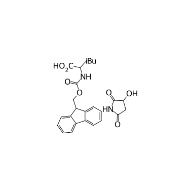 CCC(C)C(NC(=O)OCC1c2ccccc2-c2ccccc21)C(=O)O.O=C1CC(O)C(=O)N1